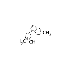 Cc1ccc2c(N3CCN(C)[C@@H](C)C3)cccc2n1